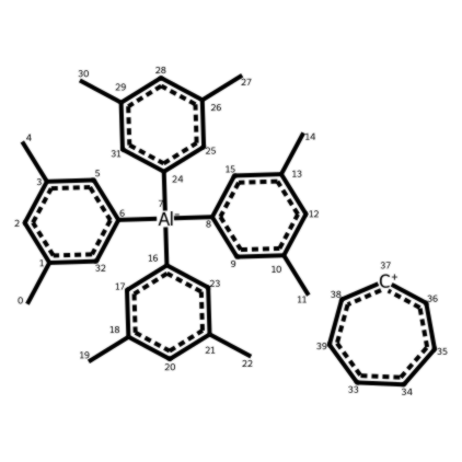 Cc1cc(C)c[c]([Al-]([c]2cc(C)cc(C)c2)([c]2cc(C)cc(C)c2)[c]2cc(C)cc(C)c2)c1.c1ccc[cH+]cc1